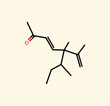 C=C(C)C(C)(/C=C/C(C)=O)C(C)CC